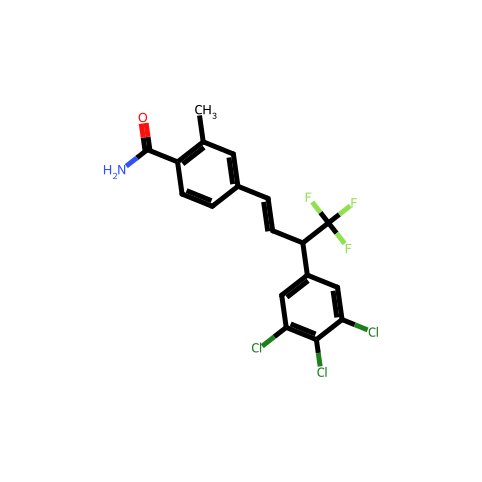 Cc1cc(/C=C/C(c2cc(Cl)c(Cl)c(Cl)c2)C(F)(F)F)ccc1C(N)=O